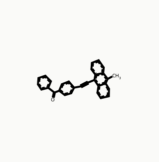 Cc1c2ccccc2c(C#Cc2ccc(C(=O)c3ccccc3)cc2)c2ccccc12